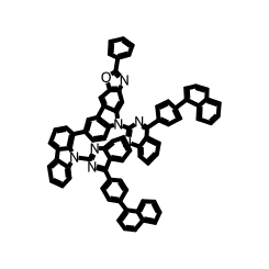 c1ccc(-c2nc3cc4c(cc3o2)c2cc(-c3cccc5c6ccccc6n(-c6nc(-c7ccc(-c8cccc9ccccc89)cc7)c7ccccc7n6)c35)ccc2n4-c2nc(-c3ccc(-c4cccc5ccccc45)cc3)c3ccccc3n2)cc1